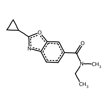 CCN(C)C(=O)c1ccc2nc(C3CC3)oc2c1